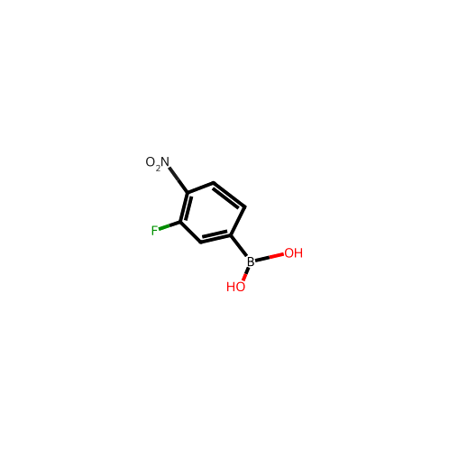 O=[N+]([O-])c1ccc(B(O)O)cc1F